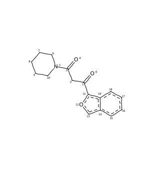 O=C(CC(=O)N1CCCCC1)c1occ2ccccc12